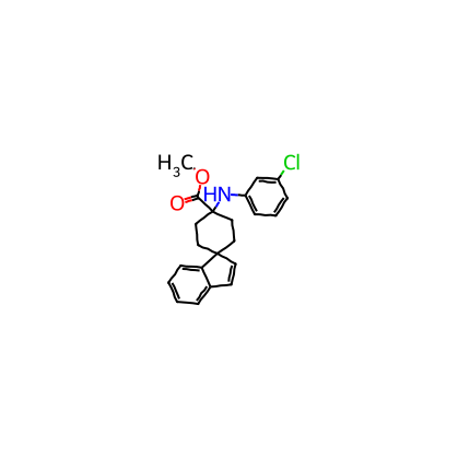 COC(=O)C1(Nc2cccc(Cl)c2)CCC2(C=Cc3ccccc32)CC1